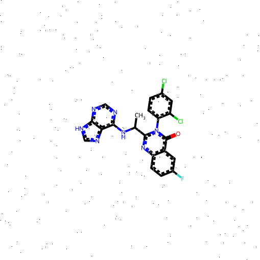 CC(Nc1ncnc2[nH]cnc12)c1nc2ccc(F)cc2c(=O)n1-c1ccc(Cl)cc1Cl